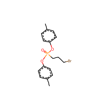 Cc1ccc(OP(=O)(CCCBr)Oc2ccc(C)cc2)cc1